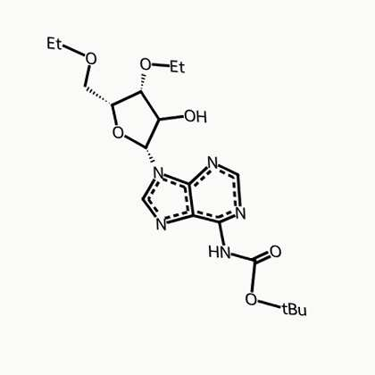 CCOC[C@H]1O[C@@H](n2cnc3c(NC(=O)OC(C)(C)C)ncnc32)C(O)[C@H]1OCC